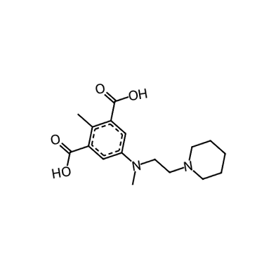 Cc1c(C(=O)O)cc(N(C)CCN2CCCCC2)cc1C(=O)O